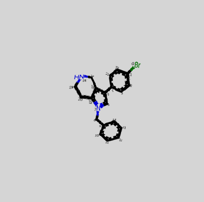 Brc1ccc(-c2cn(Cc3ccccc3)c3c2CNCC3)cc1